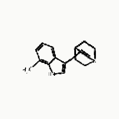 Cc1cccc2c(C3=CN4CCC3CC4)c[nH]c12